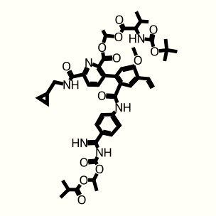 C=Cc1cc(C(=O)Nc2ccc(C(=N)NC(=O)OC(C)OC(=O)C(C)C)cc2)c(-c2ccc(C(=O)NCC3CC3)nc2C(=O)OC(C)OC(=O)C(NC(=O)OC(C)(C)C)C(C)C)cc1OC